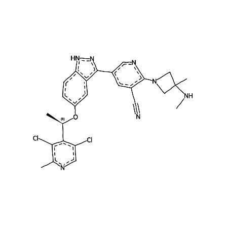 CNC1(C)CN(c2ncc(-c3n[nH]c4ccc(O[C@H](C)c5c(Cl)cnc(C)c5Cl)cc34)cc2C#N)C1